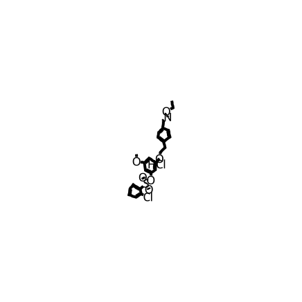 CCON=Cc1ccc(CCOc2cc(OC)cc(OS(=O)(=O)c3ccccc3Cl)c2)cc1.Cl